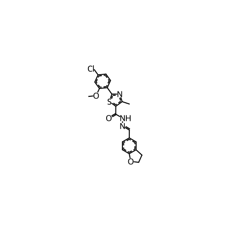 COc1cc(Cl)ccc1-c1nc(C)c(C(=O)N/N=C/c2ccc3c(c2)CCO3)s1